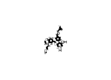 COCCCN1CCOc2ccc(CO[C@H]3CNC[C@@H](O)[C@@H]3c3ccc(COCC4CC4)cc3)cc21